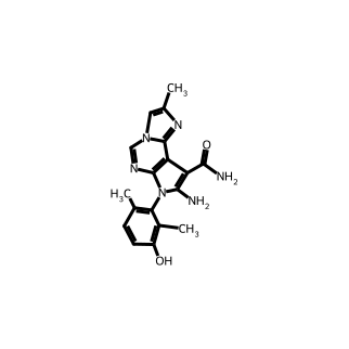 Cc1cn2cnc3c(c(C(N)=O)c(N)n3-c3c(C)ccc(O)c3C)c2n1